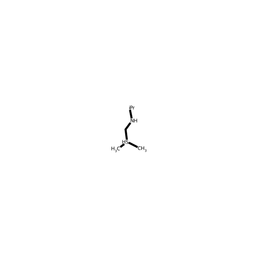 CC(C)NC[SH](C)C